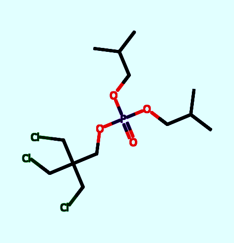 CC(C)COP(=O)(OCC(C)C)OCC(CCl)(CCl)CCl